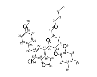 CCCCOC[C@@H]1C[C@H](OCCCC)[C@@H](OCCCC)C(c2cc(Cc3ccc(OC)cc3)c(Cl)c3c2CCO3)O1